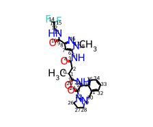 C[C@H](CC(=O)Nc1cc(C(=O)NCC(F)F)nn1C)C(=O)N[C@@H]1C(=O)N2CCCN2Cc2ccccc21